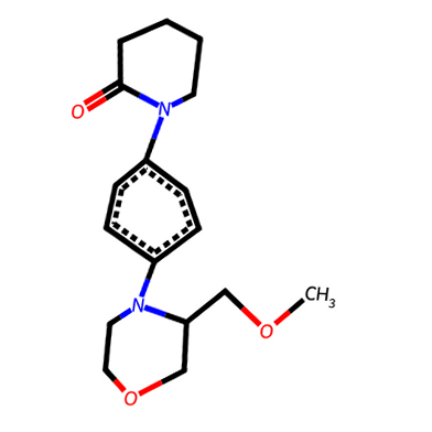 COCC1COCCN1c1ccc(N2CCCCC2=O)cc1